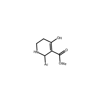 [CH2]C(=O)C1NCCC(O)=C1C(=O)OC